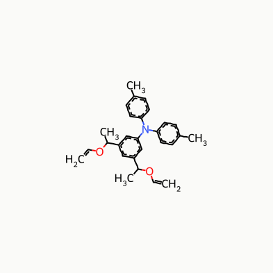 C=COC(C)c1cc(C(C)OC=C)cc(N(c2ccc(C)cc2)c2ccc(C)cc2)c1